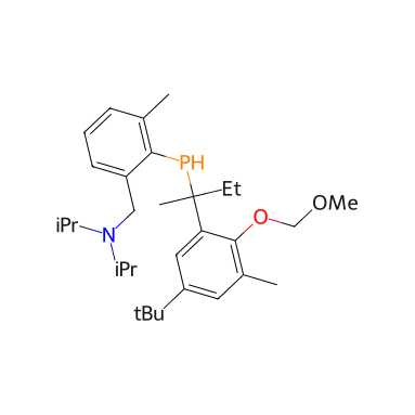 CCC(C)(Pc1c(C)cccc1CN(C(C)C)C(C)C)c1cc(C(C)(C)C)cc(C)c1OCOC